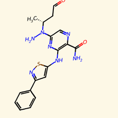 C[C@H](CC=O)N(N)c1cnc(C(N)=O)c(Nc2cc(-c3ccccc3)ns2)n1